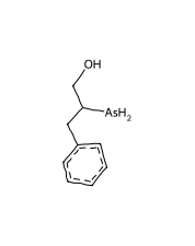 OCC([AsH2])Cc1ccccc1